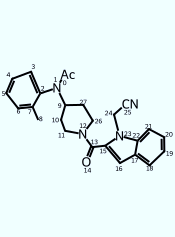 CC(=O)N(c1ccccc1C)C1CCN(C(=O)c2cc3ccccc3n2CC#N)CC1